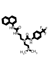 CN(C)CCN(CCNC(=O)Nc1cccc2ccccc12)C(=O)Nc1ccc(C(F)(F)F)cc1